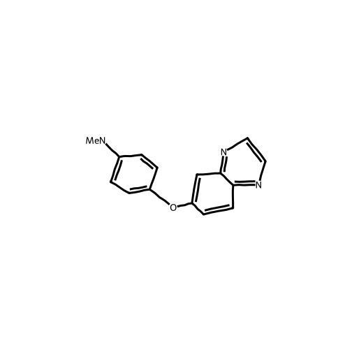 CNc1ccc(Oc2ccc3nccnc3c2)cc1